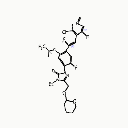 C=N/C=C(/F)C(/C=C(\F)c1cc(F)c(-n2nc(COC3CCCCO3)n(CC)c2=O)cc1O[C@@H](C)C(F)(F)F)=C(C)Cl